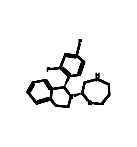 Fc1ccc([C@H]2c3ccccc3CCN2[C@@H]2CNCC[CH]O2)c(F)c1